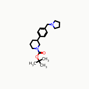 CC(C)(C)OC(=O)N1CCCC(c2ccc(CN3CCCC3)cc2)C1